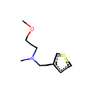 COCCN(C)Cc1ccsc1